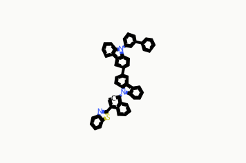 c1ccc(-c2cccc(-n3c4ccccc4c4cc(-c5ccc6c(c5)c5ccccc5n6-c5ccc(-c6nc7ccccc7s6)c6ccccc56)ccc43)c2)cc1